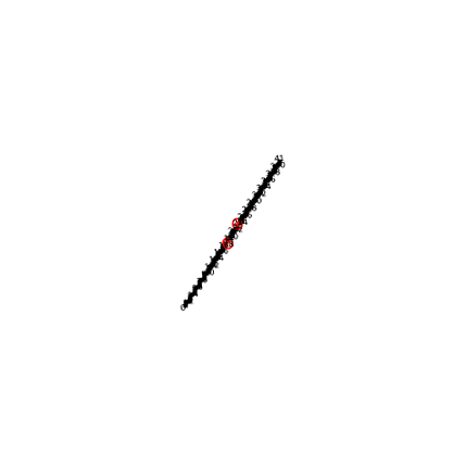 CCCCCCCCCCCCCCCCCCOC[CH]CCOCCCCCCCCCCCCCCCCCC